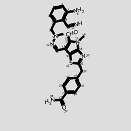 CN(Cc1cccc(N)c1C=N)/N=C\c1c(C=O)n(C)c2nc(Cc3ccc(C(N)=O)cc3)sc12